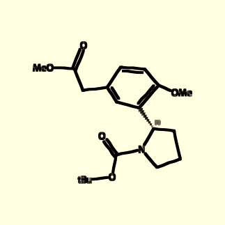 COC(=O)Cc1ccc(OC)c([C@@H]2CCCN2C(=O)OC(C)(C)C)c1